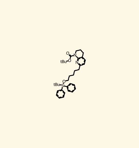 CC(C)(C)OC(=O)N1CCCc2ccc(CCCCCO[Si](c3ccccc3)(c3ccccc3)C(C)(C)C)nc21